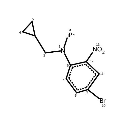 CC(C)N(CC1CC1)c1ccc(Br)cc1[N+](=O)[O-]